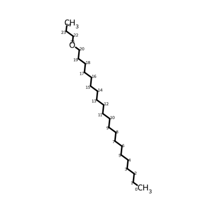 CCCCCCCCCCCCCCCCCCCCCOCCC